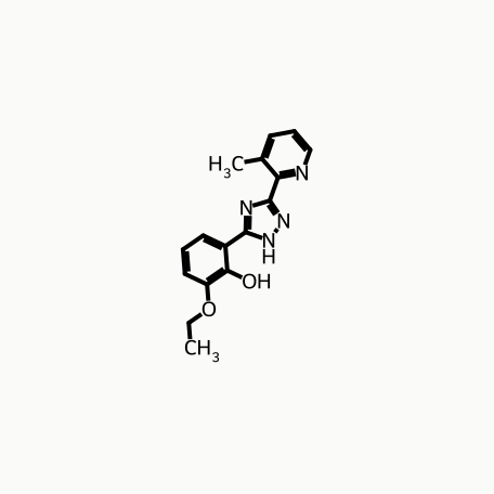 CCOc1cccc(-c2nc(-c3ncccc3C)n[nH]2)c1O